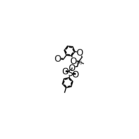 Cc1ccc(S(=O)(=O)OC[C@@]2(C)COc3cccc(C=O)c3O2)cc1